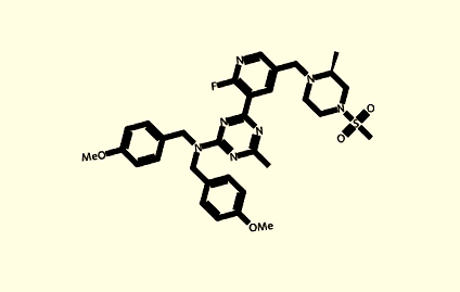 COc1ccc(CN(Cc2ccc(OC)cc2)c2nc(C)nc(-c3cc(CN4CCN(S(C)(=O)=O)C[C@@H]4C)cnc3F)n2)cc1